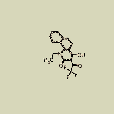 CCn1c(=O)c(C(=O)C(F)(F)F)c(O)c2ccc3ccccc3c21